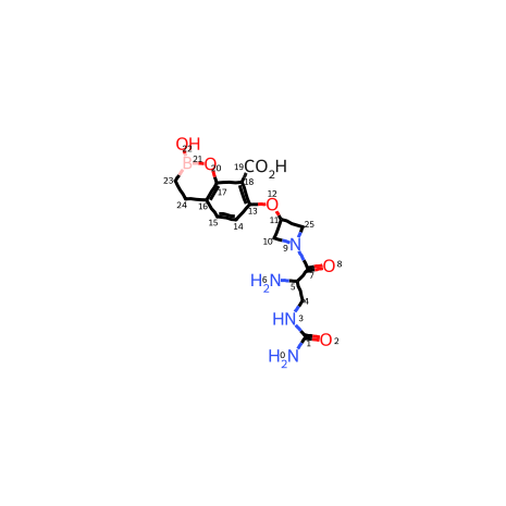 NC(=O)NCC(N)C(=O)N1CC(Oc2ccc3c(c2C(=O)O)OB(O)CC3)C1